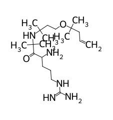 C=CCC(C)(C)OCCC(C)(C)NC(C)(C)C(=O)C(N)CCCNC(=N)N